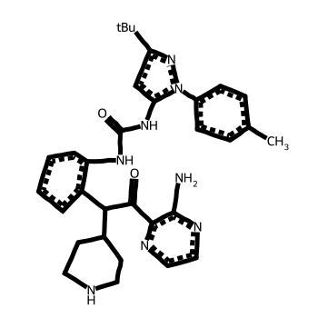 Cc1ccc(-n2nc(C(C)(C)C)cc2NC(=O)Nc2ccccc2C(C(=O)c2nccnc2N)C2CCNCC2)cc1